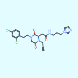 C#CCN1C(=O)CN(CCc2ccc(Cl)cc2Cl)C(=O)C1CC(=O)NCCCn1ccnc1